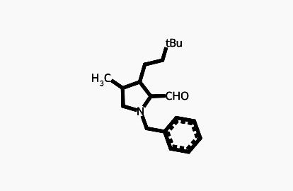 CC1CN(Cc2ccccc2)C(C=O)C1CCC(C)(C)C